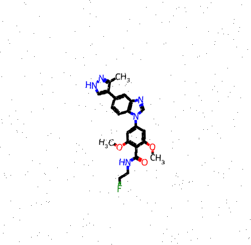 COc1cc(-n2cnc3cc(-c4c[nH]nc4C)ccc32)cc(OC)c1C(=O)NCCF